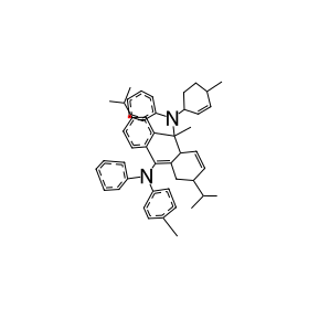 Cc1ccc(N(C2=C3CC(C(C)C)C=CC3C(C)(N(c3ccccc3)C3C=CC(C)CC3)c3cc(C(C)C)ccc32)c2ccccc2)cc1